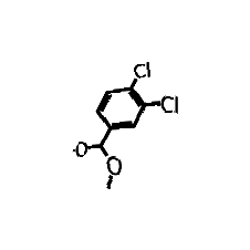 COC([O])c1ccc(Cl)c(Cl)c1